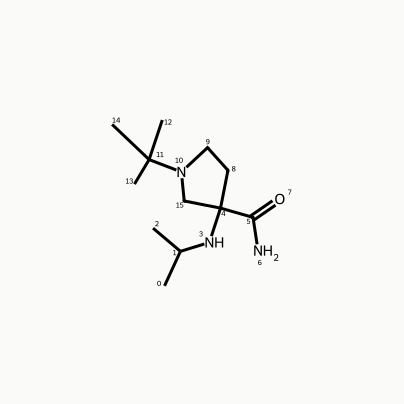 CC(C)NC1(C(N)=O)CCN(C(C)(C)C)C1